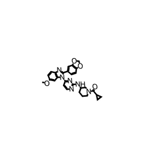 COc1ccc2nc(-c3ccc4c(c3)OCO4)n(-c3ccnc(NC4CCCN(C(=O)C5CC5)C4)n3)c2c1